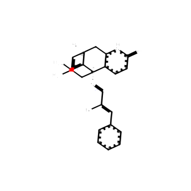 C/C=C1\[C@H]2C=C(C)C[C@]1(/N=C/C(Br)=C/c1ccccc1)c1ccc(=O)[nH]c1C2